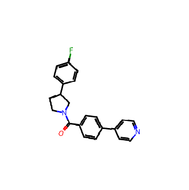 O=C(c1ccc(-c2ccncc2)cc1)N1CCC(c2ccc(F)cc2)C1